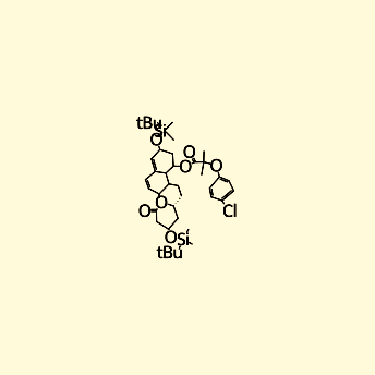 CC1C=CC2=CC(O[Si](C)(C)C(C)(C)C)CC(OC(=O)C(C)(C)Oc3ccc(Cl)cc3)C2C1CC[C@@H]1C[C@@H](O[Si](C)(C)C(C)(C)C)CC(=O)O1